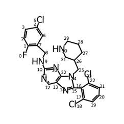 Fc1ccc(Cl)cc1CNc1ncc2nc(-c3c(Cl)cccc3Cl)n(CC3CCCNC3)c2n1